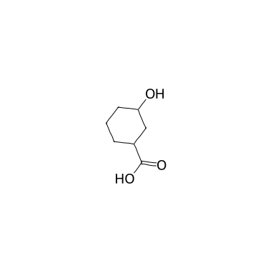 O=C(O)C1CCCC(O)C1